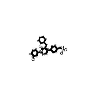 O=c1c(CC2CCCCC2)c(-c2ccc(C[SH](=O)=O)cc2)cnn1-c1cccc(Cl)c1